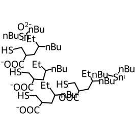 CCCCC(CC)CC(CS)C(=O)[O-].CCCCC(CC)CC(CS)C(=O)[O-].CCCCC(CC)CC(CS)C(=O)[O-].CCCCC(CC)CC(CS)C(=O)[O-].CCC[CH2][Sn][CH2]CCC.CCC[CH2][Sn][CH2]CCC.[O-2]